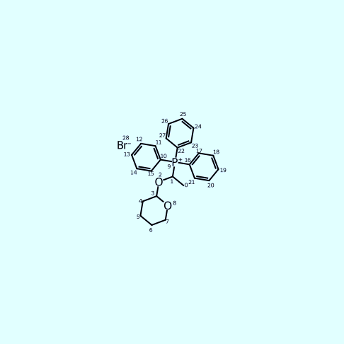 CC(OC1CCCCO1)[P+](c1ccccc1)(c1ccccc1)c1ccccc1.[Br-]